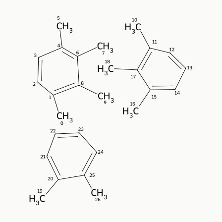 Cc1ccc(C)c(C)c1C.Cc1cccc(C)c1C.Cc1ccccc1C